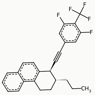 CCC[C@@H]1CCc2c(ccc3ccccc23)[C@H]1C#Cc1cc(F)c(C(F)(F)F)c(F)c1